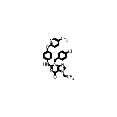 O=c1nc(Nc2ccc(Oc3ccc(C(F)(F)F)cn3)cc2)n(Cc2ccc(Cl)cc2)c2ncn(CC(F)(F)F)c12